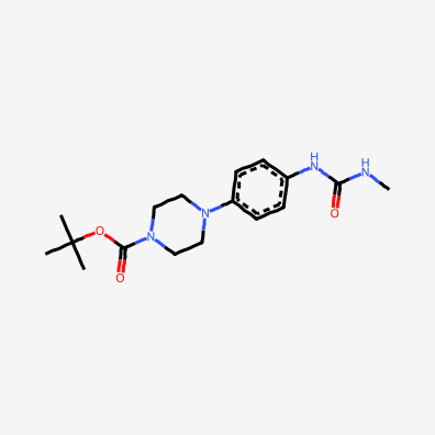 CNC(=O)Nc1ccc(N2CCN(C(=O)OC(C)(C)C)CC2)cc1